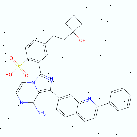 Nc1nccn2c(-c3cc(CCC4(O)CCC4)ccc3S(=O)(=O)O)nc(-c3ccc4ccc(-c5ccccc5)nc4c3)c12